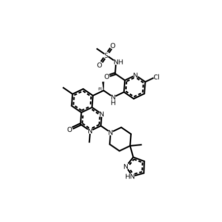 Cc1cc([C@@H](C)Nc2ccc(Cl)nc2C(=O)NS(C)(=O)=O)c2nc(N3CCC(C)(c4cc[nH]n4)CC3)n(C)c(=O)c2c1